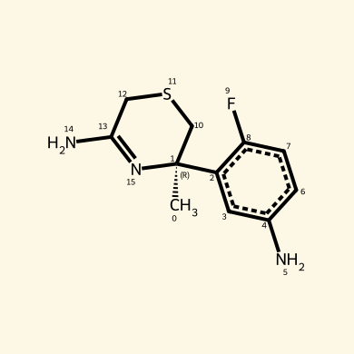 C[C@@]1(c2cc(N)ccc2F)CSCC(N)=N1